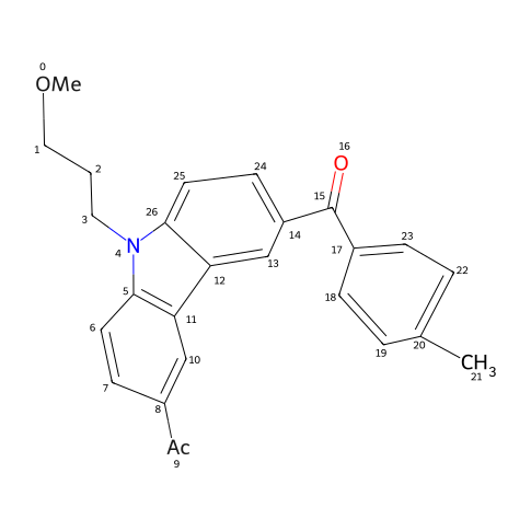 COCCCn1c2ccc(C(C)=O)cc2c2cc(C(=O)c3ccc(C)cc3)ccc21